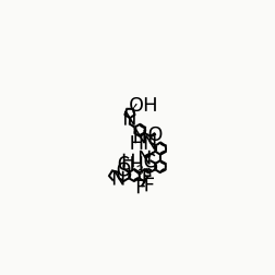 COc1cc(/C=C/c2cccc(-c3cccc(NC(=O)c4ccc(CN5CC[C@@H](O)C5)cn4)c3C#N)c2C)c(C(F)(F)F)cc1CN1CCCC1